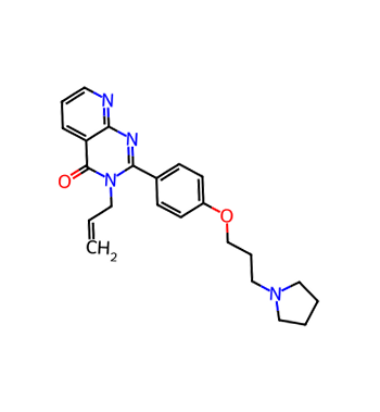 C=CCn1c(-c2ccc(OCCCN3CCCC3)cc2)nc2ncccc2c1=O